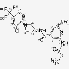 CCC(=O)Nc1cc(C(=O)N[C@@H]2CCN(c3ncc(C(F)(F)F)cc3Cl)C2)cc(C)n1